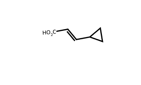 O=C(O)C=CC1CC1